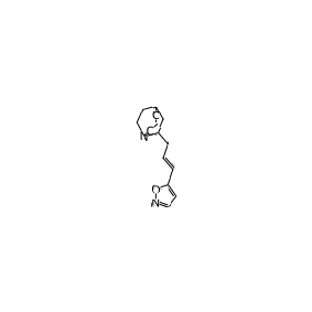 C(=C\c1ccno1)/CC1CC2CCCN1CC2